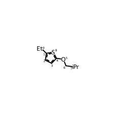 CCc1ccc(OCC(C)C)s1